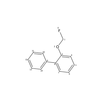 FCOc1ccccc1-c1[c]cccc1